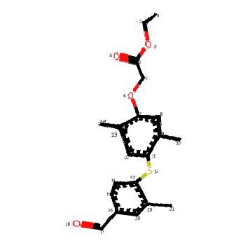 CCOC(=O)COc1cc(C)c(Sc2ccc(C=O)cc2C)cc1C